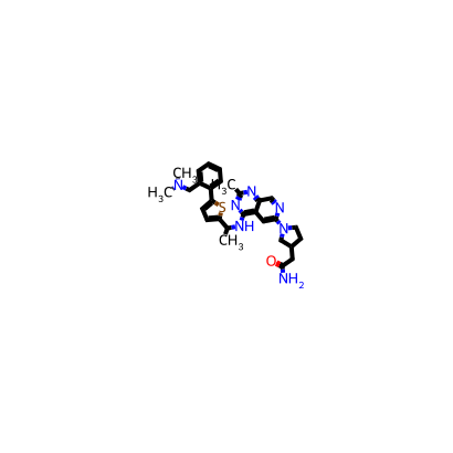 Cc1nc(NC(C)c2ccc(-c3ccccc3CN(C)C)s2)c2cc(N3CCC(CC(N)=O)C3)ncc2n1